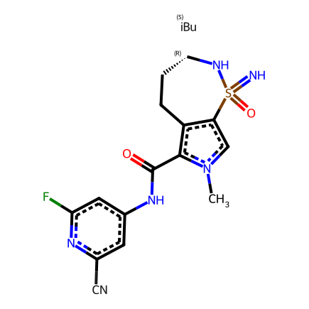 CC[C@H](C)[C@H]1CCc2c(cn(C)c2C(=O)Nc2cc(F)nc(C#N)c2)S(=N)(=O)N1